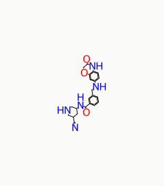 N#CC1CNCC(NC(=O)c2cccc(CNc3ccc4c(c3)OCC(=O)N4)c2)C1